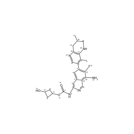 Cc1c(-c2cc3cc(NC(=O)OC4CC(O)C4)ncc3c(N)c2F)cnc2c1NCC(C)C2